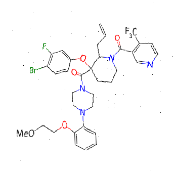 C=CCC1N(C(=O)c2cnccc2C(F)(F)F)CCCC1(Oc1ccc(Br)c(F)c1)C(=O)N1CCN(c2ccccc2OCCOC)CC1